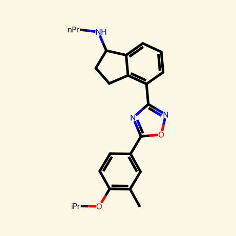 CCCNC1CCc2c(-c3noc(-c4ccc(OC(C)C)c(C)c4)n3)cccc21